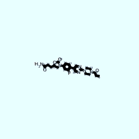 C=CC(=O)N1CCN(c2ncc(-c3ccc(N4CC(CCC(N)=O)OC4=O)cc3F)cn2)CC1